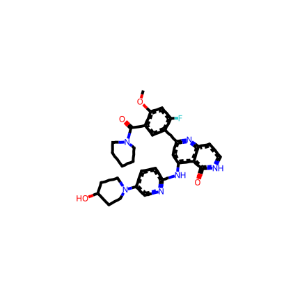 COc1cc(F)c(-c2cc(Nc3ccc(N4CCC(O)CC4)cn3)c3c(=O)[nH]ccc3n2)cc1C(=O)N1CCCCC1